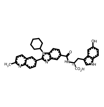 Cc1ccc2cc(-c3nc4cc(C(=O)N[C@@H](Cc5c[nH]c6ccc(O)cc56)C(=O)O)ccc4n3C3CCCCC3)ccc2n1